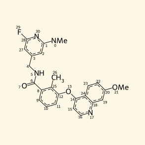 CNc1cc(CNC(=O)c2cccc(Oc3ccnc4cc(OC)ccc34)c2C)cc(F)n1